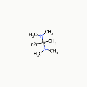 CCC[Si](C)(N(C)C)N(C)C